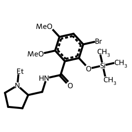 CCN1CCCC1CNC(=O)c1c(O[Si](C)(C)C)c(Br)cc(OC)c1OC